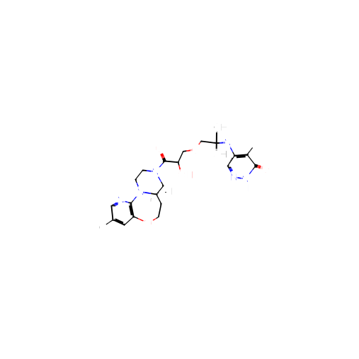 CC(C)(COCC(O)C(=O)N1CCN2c3ncc(C(F)(F)F)cc3OCC[C@@H]2C1)Nc1cn[nH]c(=O)c1C(F)(F)F